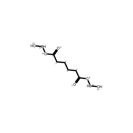 O=C(CCCCC(=O)OBO)OBO